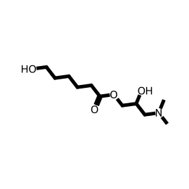 CN(C)CC(O)COC(=O)CCCCCO